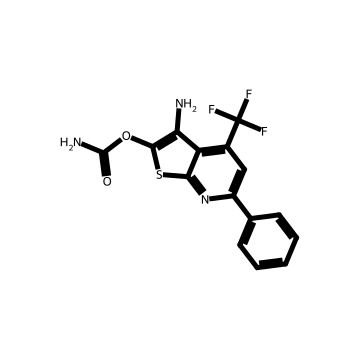 NC(=O)Oc1sc2nc(-c3ccccc3)cc(C(F)(F)F)c2c1N